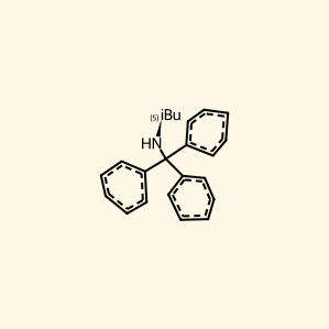 CC[C@H](C)NC(c1ccccc1)(c1ccccc1)c1ccccc1